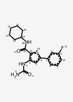 NC(=O)Nc1cc(-c2cccc(F)c2)sc1C(=O)NC1CCCCC1